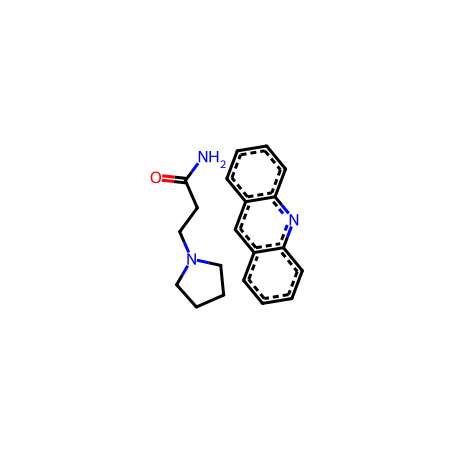 NC(=O)CCN1CCCC1.c1ccc2nc3ccccc3cc2c1